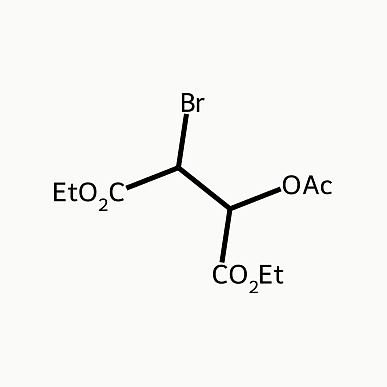 CCOC(=O)C(Br)C(OC(C)=O)C(=O)OCC